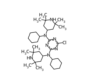 CC1(C)CC(N(c2nc(Cl)nc(N(C3CCCCC3)C3CC(C)(C)NC(C)(C)C3)n2)C2CCCCC2)CC(C)(C)N1